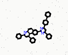 C1=CC2N=C(c3ccccc3)C=C(c3ccccc3)C2c2ccc(-c3nc(-c4ccccc4)cc(-c4ccc(-c5ccccc5)cc4)n3)cc21